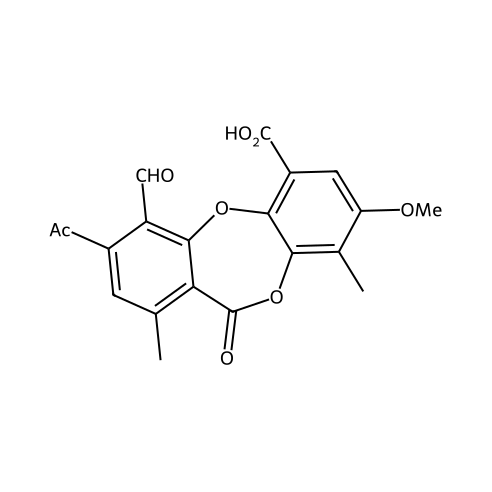 COc1cc(C(=O)O)c2c(c1C)OC(=O)c1c(C)cc(C(C)=O)c(C=O)c1O2